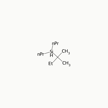 CCC[SiH](CCC)C(C)(C)CC